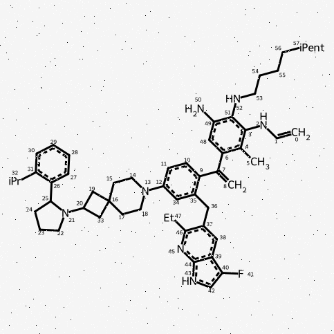 C=CNc1c(C)c(C(=C)c2ccc(N3CCC4(CC3)CC(N3CCCC3c3ccccc3C(C)C)C4)cc2Cc2cc3c(F)c[nH]c3nc2CC)cc(N)c1NCCCCC(C)CCC